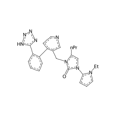 CCCc1cn(-c2cccn2CC)c(=O)n1Cc1cnccc1-c1ccccc1-c1nnn[nH]1